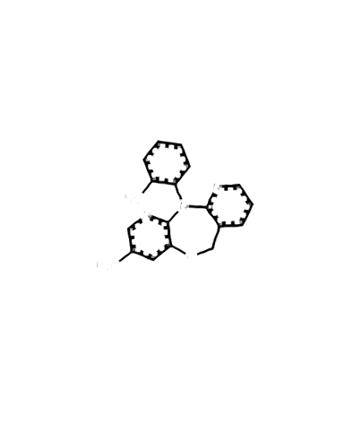 Cc1cnc2c(c1)OCc1cccnc1N2c1ccccc1O